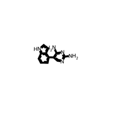 Nc1ncc(-c2cccc3[nH]ccc23)c(N)n1